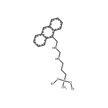 CCO[Si](C)(CCCNCNCc1c2ccccc2cc2ccccc12)OCC